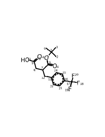 CC(C)(C)OC(=O)C(CC(=O)O)Cc1ccc(C(F)(F)F)cc1